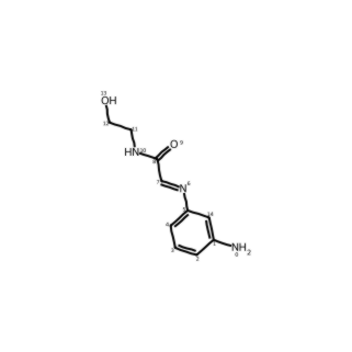 Nc1cccc(/N=C/C(=O)NCCO)c1